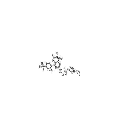 Cc1nc2c(-c3ccc(C(F)(F)F)cc3F)nc([C@H]3CCO[C@@H](c4cnn(C5CC5)c4)C3)nc2c(=O)n1C